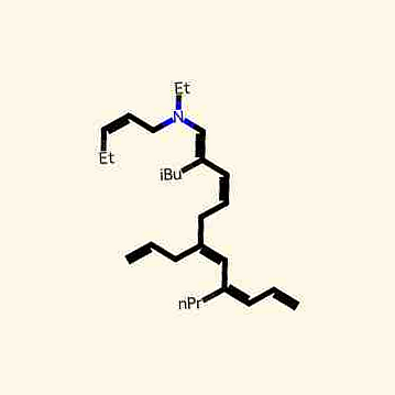 C=C/C=C(\C=C(/CC=C)C/C=C\C(=C\N(CC)C/C=C\CC)C(C)CC)CCC